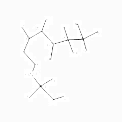 CCC(C)(C)NCCC(C)C(C)C(C)C(C)(C)C(C)(C)C